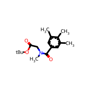 Cc1cc(C(=O)N(C)CC(=O)OC(C)(C)C)cc(C)c1C